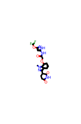 Cn1nc(C2CCC(=O)NC2=O)c2cccc(OCC(=O)Nc3cc(OC(F)F)n[nH]3)c21